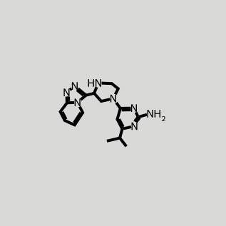 CC(C)c1cc(N2CCNC(c3nnc4ccccn34)C2)nc(N)n1